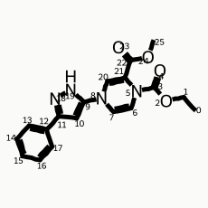 CCOC(=O)N1C=[C]N(c2cc(-c3ccccc3)n[nH]2)C=C1C(=O)OC